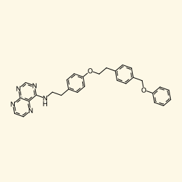 c1ccc(OCc2ccc(CCOc3ccc(CCNc4ncnc5nccnc45)cc3)cc2)cc1